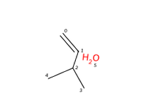 C=CC(C)C.O